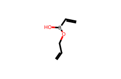 C=CCOB(O)C=C